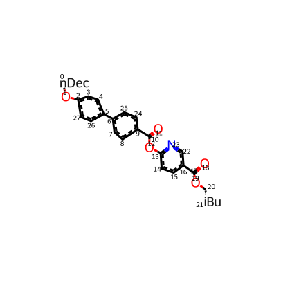 CCCCCCCCCCOc1ccc(-c2ccc(C(=O)Oc3ccc(C(=O)OC[C@@H](C)CC)cn3)cc2)cc1